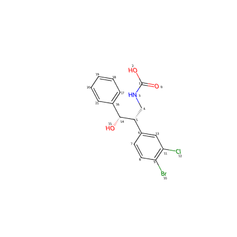 O=C(O)NC[C@H](c1ccc(Br)c(Cl)c1)[C@H](O)c1ccccc1